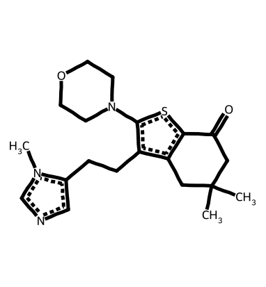 Cn1cncc1CCc1c(N2CCOCC2)sc2c1CC(C)(C)CC2=O